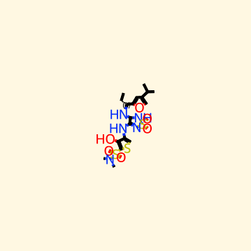 CC[C@@H](NC1NS(=O)(=O)N=C1Nc1csc(S(=O)(=O)N(C)C)c1O)c1cc(C(C)C)co1